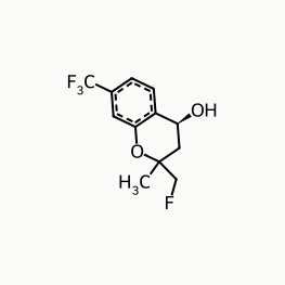 CC1(CF)C[C@H](O)c2ccc(C(F)(F)F)cc2O1